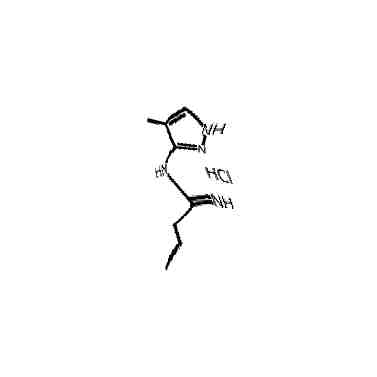 CCCC(=N)Nc1n[nH]cc1C.Cl